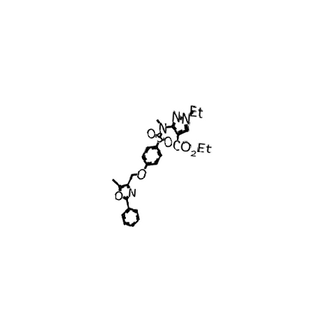 CCOC(=O)c1cn(CC)nc1N(C)S(=O)(=O)c1ccc(OCc2nc(-c3ccccc3)oc2C)cc1